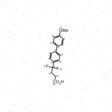 COc1ccc(-c2ccc(C(F)(F)CCC(=O)O)cc2)cc1